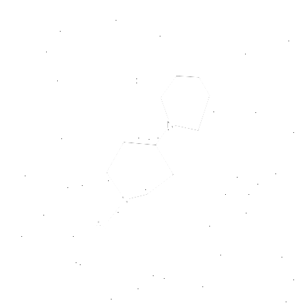 [CH2]C(=O)N1CCC(N2CCCCC2)CC1